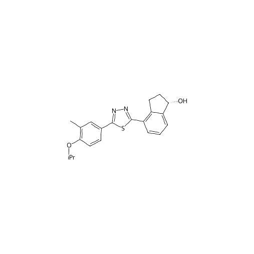 Cc1cc(-c2nnc(-c3cccc4c3CC[C@@H]4O)s2)ccc1OC(C)C